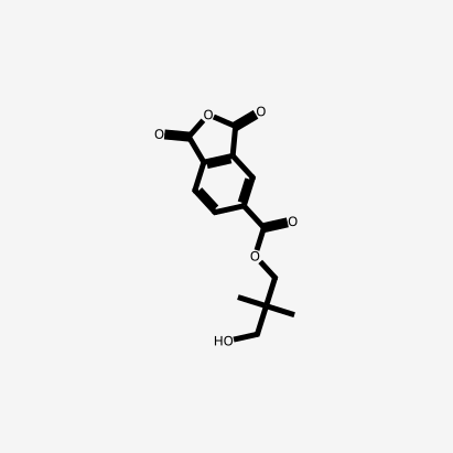 CC(C)(CO)COC(=O)c1ccc2c(c1)C(=O)OC2=O